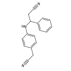 N#CCc1ccc(NC(CC#N)c2ccccc2)cc1